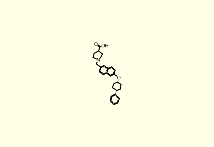 O=C(O)C1CCN(Cc2ccc3cc(O[C@H]4CC[C@@H](c5ccccc5)CC4)ccc3c2)CC1